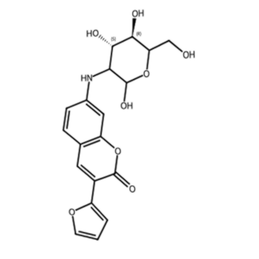 O=c1oc2cc(NC3C(O)OC(CO)[C@H](O)[C@H]3O)ccc2cc1-c1ccco1